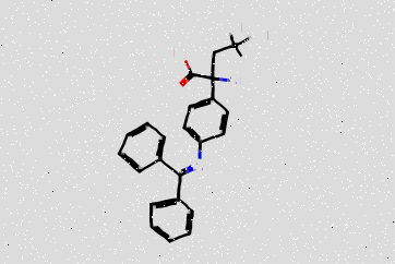 CC(C)(C)CC(N)(C(=O)O)c1ccc(N=C(c2ccccc2)c2ccccc2)cc1